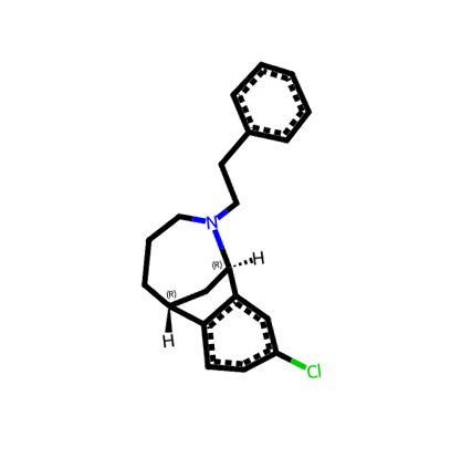 Clc1ccc2c(c1)[C@H]1C[C@H]2CCCN1CCc1ccccc1